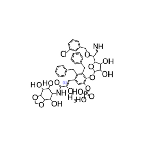 C/C(=C\c1cc(OP(=O)(O)O)c(OC2OC(C(C=N)OCc3cccc(Cl)c3)C(O)C2O)c(Cc2ccccc2)c1Cc1ccccc1)C(=O)NC1C(O)C(O)C2OCOC2C1O